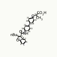 CCCCc1oc2ccccc2c1C(=O)Nc1ccc(-c2ccc(OC(C)C(=O)O)cc2)cc1